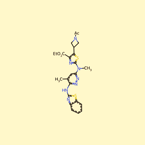 CCOC(=O)c1nc(N(C)c2cc(C)c(Nc3nc4ccccc4s3)nn2)sc1C1CN(C(C)=O)C1